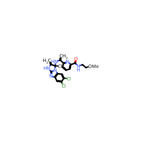 C=C(NC1(C(F)(F)F)C(=C)Nc2nc3cc(Cl)c(Cl)cc3n21)c1cccc(C(=O)NCCOC)n1